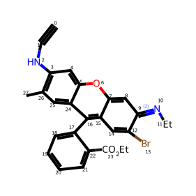 C#CNc1cc2oc3c/c(=N/CC)c(Br)cc-3c(-c3ccccc3C(=O)OCC)c2cc1C